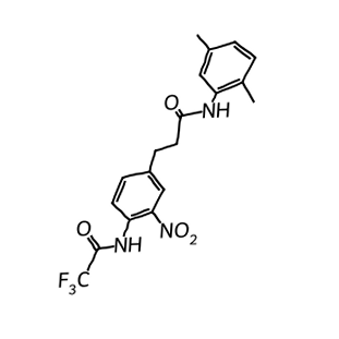 Cc1ccc(C)c(NC(=O)CCc2ccc(NC(=O)C(F)(F)F)c([N+](=O)[O-])c2)c1